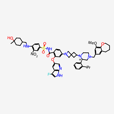 COc1cc(CN2CCN(C3CC4(C3)CN(c3ccc(C(=O)NS(=O)(=O)c5ccc(NCC6CCC(C)(O)CC6)c([N+](=O)[O-])c5)c(Oc5cnc6[nH]cc(F)c6c5)c3)C4)[C@H](c3ccccc3C(C)C)C2)cc2c1OCCCC2